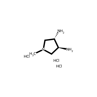 CN1C[C@H](N)[C@@H](N)C1.Cl.Cl.Cl